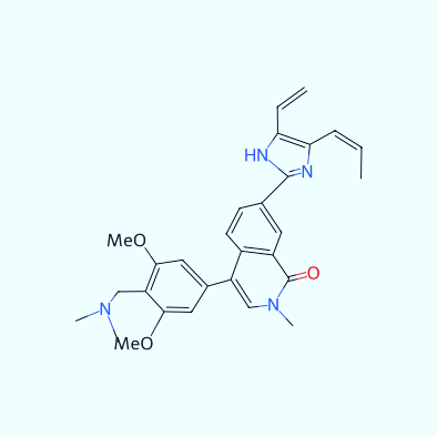 C=Cc1[nH]c(-c2ccc3c(-c4cc(OC)c(CN(C)C)c(OC)c4)cn(C)c(=O)c3c2)nc1/C=C\C